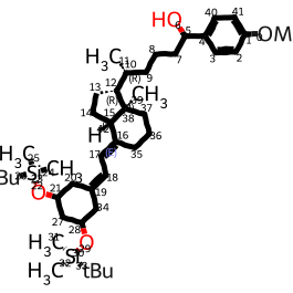 COc1ccc(C(O)CCC[C@@H](C)[C@H]2CC[C@H]3/C(=C/C=C4CC(O[Si](C)(C)C(C)(C)C)CC(O[Si](C)(C)C(C)(C)C)C4)CCC[C@]23C)cc1